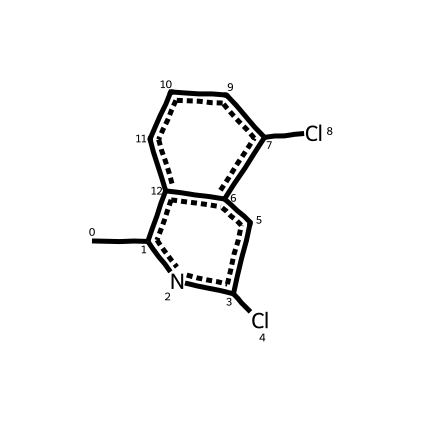 Cc1nc(Cl)cc2c(Cl)cccc12